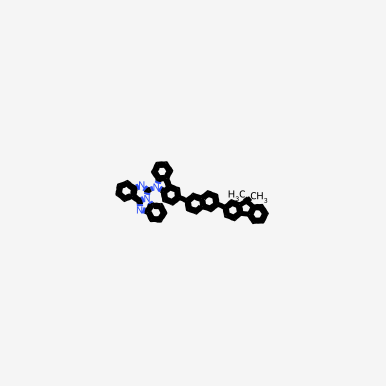 CC1(C)c2ccccc2-c2ccc(-c3ccc4cc(-c5ccc6c(c5)c5ccccc5n6-c5nc6ccccc6c6nc7ccccc7n56)ccc4c3)cc21